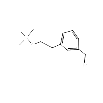 C[Si](C)(C)OCCc1cccc(CBr)c1